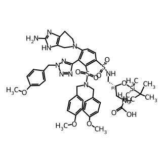 COc1ccc(CN(Cc2ccc(OC)cc2)S(=O)(=O)c2c(S(=O)(=O)NC[C@@H](CNC(=O)O)O[Si](C)(C)C(C)(C)C)ccc(N3CCc4nc(N)[nH]c4C3)c2-c2nnn(Cc3ccc(OC)cc3)n2)cc1